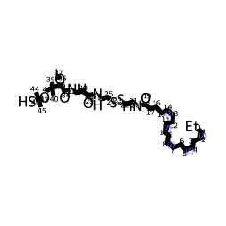 CC/C=C\C/C=C\C/C=C\C/C=C\C/C=C\CCCC(=O)NCCSSCCNC(=O)CCNC(=O)[C@H](OI)C(C)(C)COC(C)(C)S